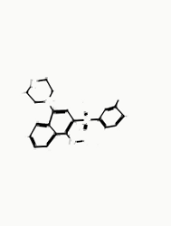 CNc1c(S(=O)(=O)c2cccc(F)c2)cc(N2CCNCC2)c2ccccc12